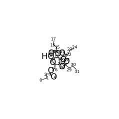 CCCC(=O)OC[C@H]1OC(O)[C@H](OC(=O)CCC)[C@@H](OC(=O)CCC)[C@@H]1OC(=O)CCC